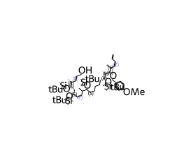 C=C/C=C\[C@H](C)[C@H](OCc1ccc(OC)cc1)[C@@H](C)[C@@H](CCCC[C@H](C)C(O[Si](C)(C)C(C)(C)C)C(C)/C=C\[C@H](C[C@H](O[Si](C)(C)C(C)(C)C)[C@H](C)/C=C/CO)O[Si](C)(C)C(C)(C)C)O[Si](C)(C)C(C)(C)C